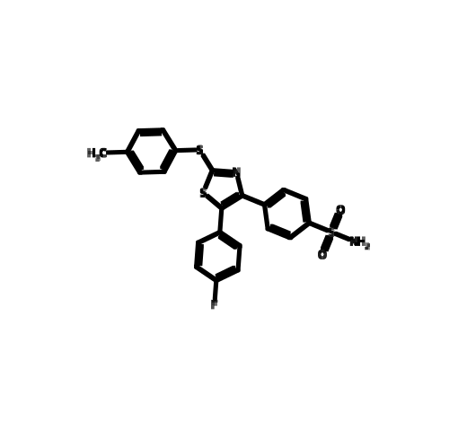 Cc1ccc(Sc2nc(-c3ccc(S(N)(=O)=O)cc3)c(-c3ccc(F)cc3)s2)cc1